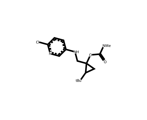 CNC(=O)OC1(CNc2ccc(Cl)nc2)CC1C(C)(C)C